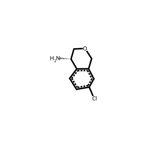 N[C@@H]1COCc2cc(Cl)ccc21